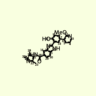 COc1ncccc1-c1ccc(O)c(-c2nc3cc(C(=O)Nc4c(C)nn(C)c4C)ccc3[nH]2)c1